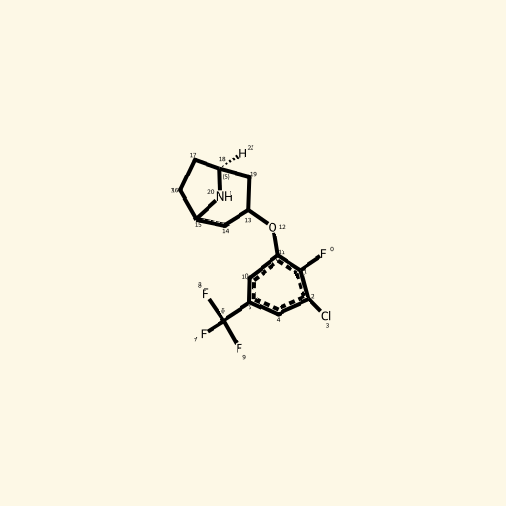 Fc1c(Cl)cc(C(F)(F)F)cc1OC1CC2CC[C@@H](C1)N2